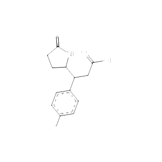 O=C(O)CC(c1ccc(Cl)cc1)C1CCC(=O)N1